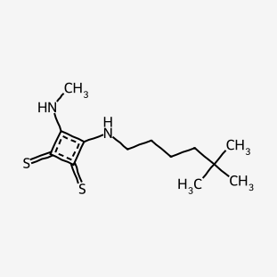 CNc1c(NCCCCC(C)(C)C)c(=S)c1=S